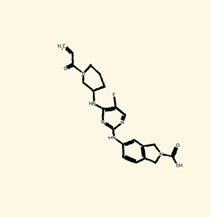 C=CC(=O)N1CCCC(Nc2nc(Nc3ccc4c(c3)CN(C(=O)O)C4)ncc2F)C1